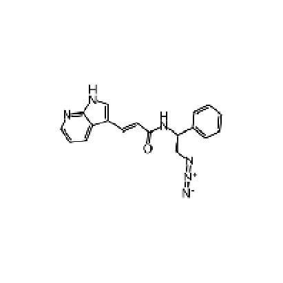 [N-]=[N+]=NC[C@@H](NC(=O)/C=C/c1c[nH]c2ncccc12)c1ccccc1